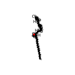 CCC=CCC=CCC=CCC=CCC=CCC=CCCC(=O)NC(CCCCNC(=O)C(C)(C)Oc1ccc(CCNC(=O)c2ccc(Cl)cc2)cc1)C(=O)OC